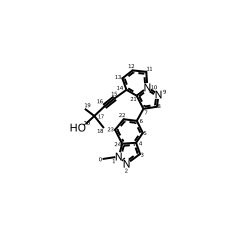 Cn1ncc2cc(-c3cnn4cccc(C#CC(C)(C)O)c34)ccc21